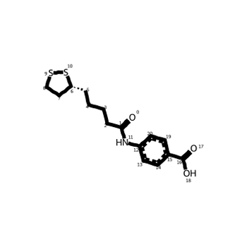 O=C(CCCC[C@@H]1CCSS1)Nc1ccc(C(=O)O)cc1